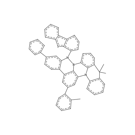 Cc1ccccc1-c1cc2c3c(c1)N1c4ccccc4C(C)(C)c4cccc(c41)B3N(c1cccc3c1sc1ccccc13)c1cc(-c3ccccc3)ccc1-2